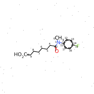 CN(C(=O)CCCCCCC(=O)O)c1ccc(F)cc1